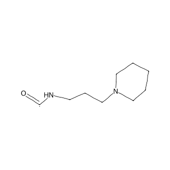 O=[C]NCCCN1CCCCC1